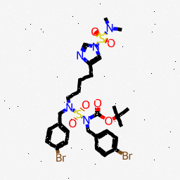 CN(C)S(=O)(=O)n1cnc(CCCCN(Cc2ccc(Br)cc2)S(=O)(=O)N(Cc2ccc(Br)cc2)C(=O)OC(C)(C)C)c1